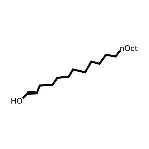 CCCCCCCCCCCCCCCCCCC=CO